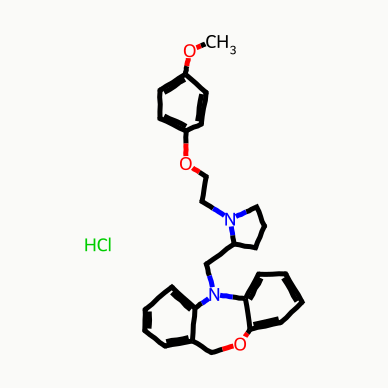 COc1ccc(OCCN2CCCC2CN2c3ccccc3COc3ccccc32)cc1.Cl